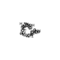 Cc1c(C(=O)N2CCC(CN3CCC(n4c(C)cc5c(N6CCC(=O)NC6=O)cccc54)CC3)CC2)ccc([C@@H]2CN(c3cc(-c4ccccc4O)nnc3N)CCO2)c1C